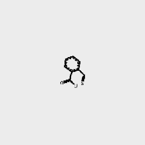 O=C(Cl)c1ccccc1C=S